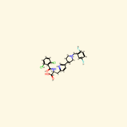 O=C(N[C@@H](Cc1ccc(C2=CCN(Cc3cc(F)ccc3F)CC2)cn1)C(=O)O)c1c(Cl)cccc1Cl